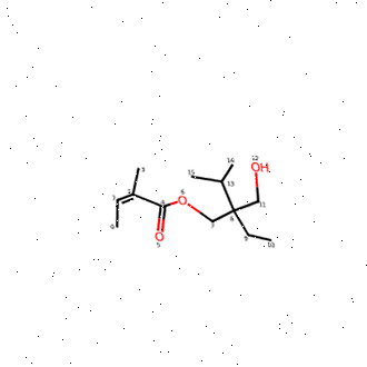 CC=C(C)C(=O)OCC(CC)(CO)C(C)C